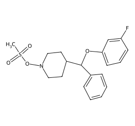 CS(=O)(=O)ON1CCC(C(Oc2cccc(F)c2)c2ccccc2)CC1